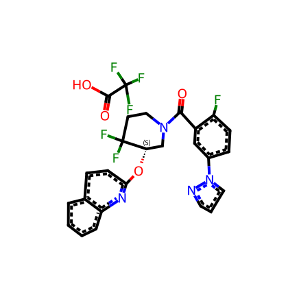 O=C(O)C(F)(F)F.O=C(c1cc(-n2cccn2)ccc1F)N1CCC(F)(F)[C@@H](Oc2ccc3ccccc3n2)C1